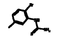 Cc1ccc(Br)c(NC(N)=S)c1